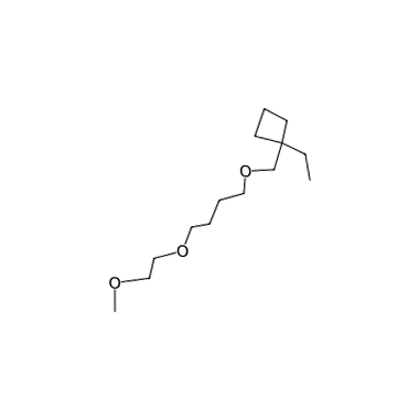 CCC1(COCCCCOCCOC)CCC1